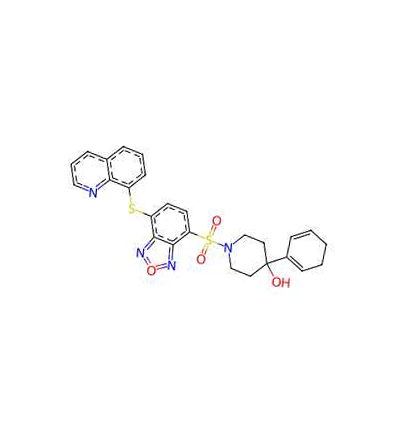 O=S(=O)(c1ccc(Sc2cccc3cccnc23)c2nonc12)N1CCC(O)(C2=CCCC=C2)CC1